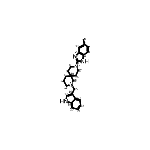 Cc1ccc2[nH]c(N3CCC4(CCCN(Cc5c[nH]c6ccccc56)C4)CC3)nc2c1